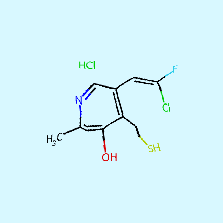 Cc1ncc(C=C(F)Cl)c(CS)c1O.Cl